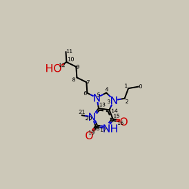 CCCN1CN(CCCCC(C)O)c2c1c(=O)[nH]c(=O)n2C